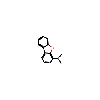 CB(C)c1cccc2c1oc1ccccc12